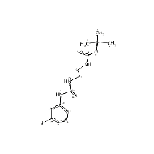 CC(C)(C)OC(=O)NCCNC(=S)Nc1cccc(F)c1